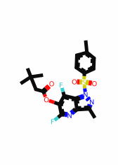 Cc1ccc(S(=O)(=O)n2nc(C)c3nc(F)c(OC(=O)CC(C)(C)C)c(F)c32)cc1